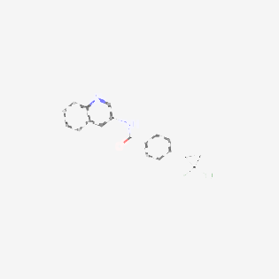 O=C(Nc1cnc2ccccc2c1)c1ccc(C2CC2(Cl)Cl)cc1